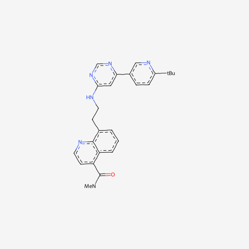 CNC(=O)c1ccnc2c(CCNc3cc(-c4ccc(C(C)(C)C)nc4)ncn3)cccc12